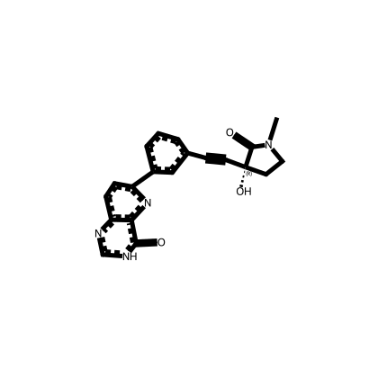 CN1CC[C@@](O)(C#Cc2cccc(-c3ccc4nc[nH]c(=O)c4n3)c2)C1=O